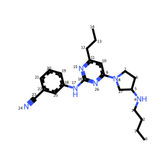 CCCCNC1CCN(c2cc(CCC)nc(Nc3cccc(C#N)c3)n2)C1